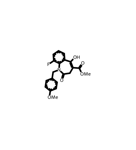 COC(=O)C1=C(O)c2cccc(F)c2N(Cc2ccc(OC)cc2)C(=O)C1